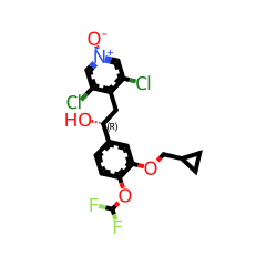 [O-][n+]1cc(Cl)c(C[C@@H](O)c2ccc(OC(F)F)c(OCC3CC3)c2)c(Cl)c1